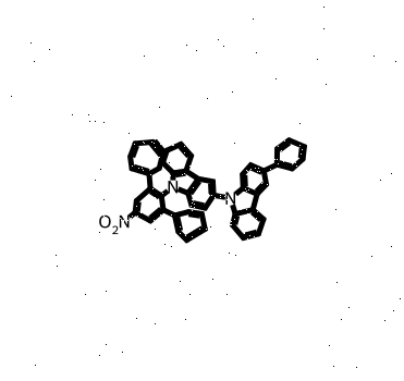 O=[N+]([O-])c1cc(C2=CC=CC#CC2)c(-n2c3c(c4cc(-n5c6ccccc6c6cc(-c7ccccc7)ccc65)ccc42)C=CCC3)c(-c2ccccc2)c1